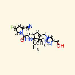 CC1(C)[C@H](Cn2cc(CO)nn2)CC[C@]1(C)NCC(=O)N1C[C@@H](F)C[C@H]1C#N